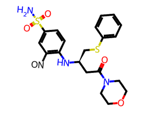 NS(=O)(=O)c1ccc(N[C@@H](CSc2ccccc2)CC(=O)N2CCOCC2)c(N=O)c1